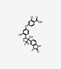 CC(c1ccc(Oc2ccc(C(=O)O)c(Cl)c2)cc1Cl)C(O)(c1ccc2c(c1)n(C)c(=O)n2C)C(F)(F)F